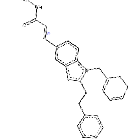 O=C(/C=C/c1ccc2c(c1)nc(CCc1ccccc1)n2CC1=CC=CCC1)NO